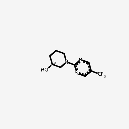 O[C@H]1CCCN(c2ncc(C(F)(F)F)cn2)C1